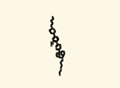 CCCCCCCC1COC(c2ccc(-c3ccc(C4CCC(CCCCC)CC4)cc3F)cc2)OC1